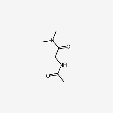 CC(=O)NCC(=O)N(C)C